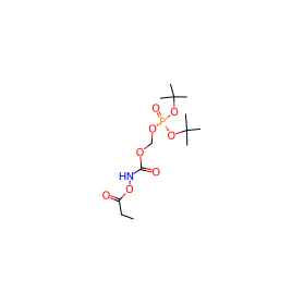 CCC(=O)ONC(=O)OCOP(=O)(OC(C)(C)C)OC(C)(C)C